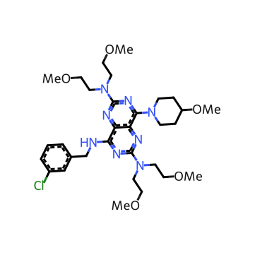 COCCN(CCOC)c1nc(N2CCC(OC)CC2)c2nc(N(CCOC)CCOC)nc(NCc3cccc(Cl)c3)c2n1